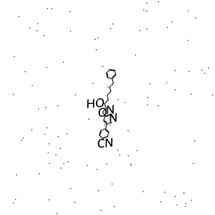 N#Cc1ccc(-c2cnc3nc(C(O)CCCCCc4ccccc4)oc3c2)cc1